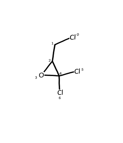 ClCC1OC1(Cl)Cl